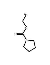 [2H]COC(=O)N1CCCC1